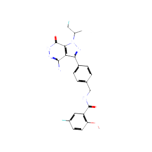 COc1ccc(F)cc1C(=O)NCc1ccc(-c2nn(C(C)CF)c3c(=O)[nH]nc(N)c23)cc1